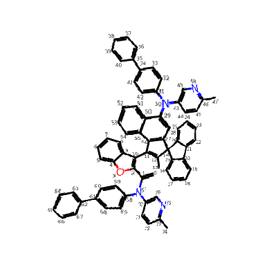 C=C(c1oc2ccccc2c1C1=C(C)C2(c3ccccc3-c3ccccc32)c2cc(N(c3ccc(-c4ccccc4)cc3)c3ccc(C)nc3)c3ccccc3c21)N(c1ccc(-c2ccccc2)cc1)c1ccc(C)nc1